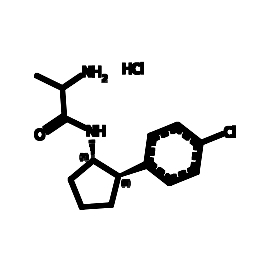 CC(N)C(=O)N[C@H]1CCC[C@@H]1c1ccc(Cl)cc1.Cl